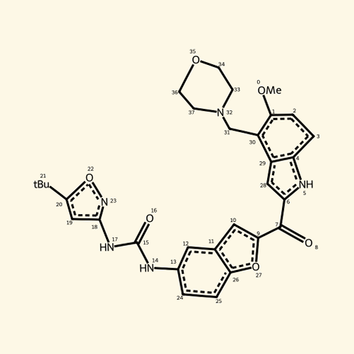 COc1ccc2[nH]c(C(=O)c3cc4cc(NC(=O)Nc5cc(C(C)(C)C)on5)ccc4o3)cc2c1CN1CCOCC1